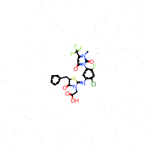 Cn1c(C(F)(F)F)cc(=O)n(-c2cc(N=C3SC(Cc4ccccc4)C(=O)N3CC(=O)O)c(Cl)cc2F)c1=O